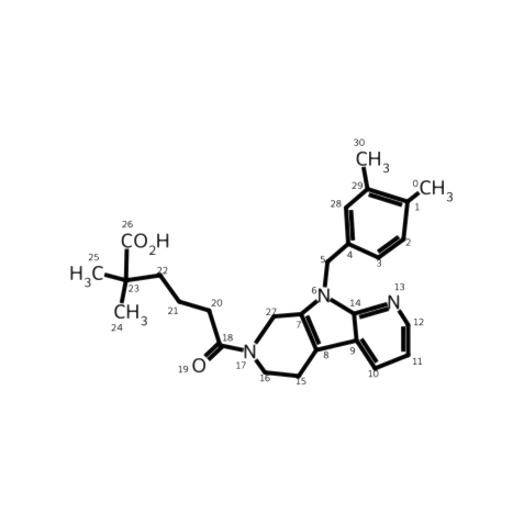 Cc1ccc(Cn2c3c(c4cccnc42)CCN(C(=O)CCCC(C)(C)C(=O)O)C3)cc1C